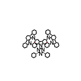 c1ccc(-c2nc(-c3ccccc3)nc(-n3c4ccc(-n5c6ccccc6c6ccc7c8ccccc8n(-c8ccccc8)c7c65)cc4c4cc(-n5c6ccccc6c6ccc7c8ccccc8n(-c8ccccc8)c7c65)ccc43)n2)cc1